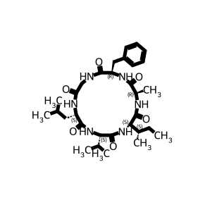 CC[C@H](C)[C@@H]1NC(=O)[C@H](C(C)C)NC(=O)[C@H](CC(C)C)NC(=O)CNC(=O)[C@@H](Cc2ccccc2)NC(=O)[C@@H](C)NC1=O